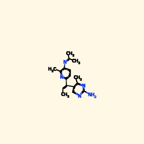 C/C=C(/c1ccc(N=C(C)C)c(C)n1)c1cnc(N)nc1C